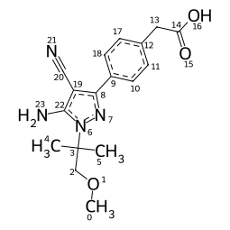 COCC(C)(C)n1nc(-c2ccc(CC(=O)O)cc2)c(C#N)c1N